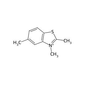 Cc1ccc2sc(C)[n+](C)c2c1